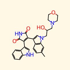 Cc1ccc2c(C3=C(c4c[nH]c5ccccc45)C(=O)NC3=O)cn(CC(O)CN3CCOCC3)c2c1